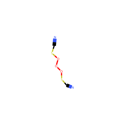 N#CSOOOSC#N